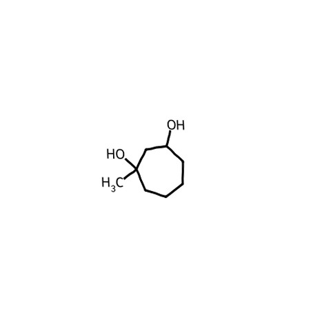 CC1(O)CCCCC(O)C1